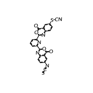 N#CSc1ccc2nc(-c3cccc(-c4nc5ccc(N=C=S)cc5c(=O)o4)n3)oc(=O)c2c1